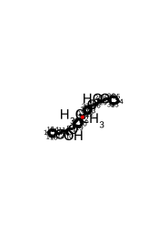 CC(C)(c1ccc(OCC(O)COC2CCCCC2)cc1)c1ccc(OCC(O)COC2CCCCC2)cc1